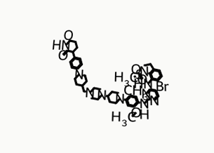 COc1cc(N2CCC(N3CCN(CC4CCN(c5ccc(C6CCC(=O)NC6=O)cc5)CC4)CC3)CC2)c(C)cc1Nc1ncc(Br)c(Nc2cccc3c2N(S(C)(=O)=O)CC3)n1